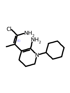 C/C(C1=C(N)N(C2CCCCC2)CCC1)=C(/N)Cl